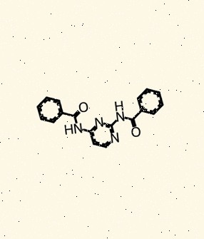 O=C(Nc1ccnc(NC(=O)c2ccccc2)n1)c1ccccc1